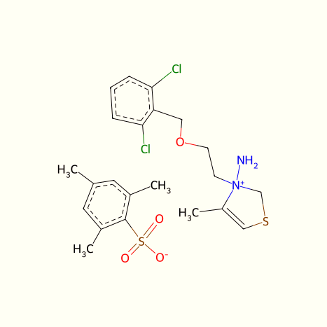 CC1=CSC[N+]1(N)CCOCc1c(Cl)cccc1Cl.Cc1cc(C)c(S(=O)(=O)[O-])c(C)c1